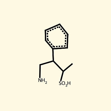 CC(C(CN)c1ccccc1)S(=O)(=O)O